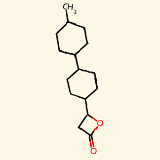 CC1CCC(C2CCC(C3CC(=O)O3)CC2)CC1